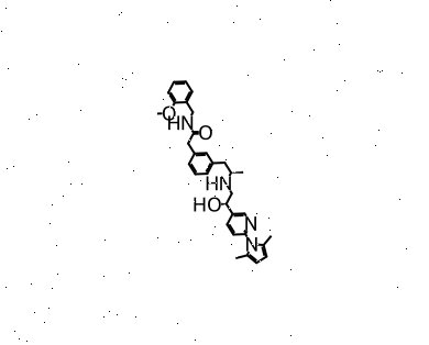 COc1ccccc1CNC(=O)Cc1cccc(C[C@@H](C)NC[C@H](O)c2ccc(-n3c(C)ccc3C)nc2)c1